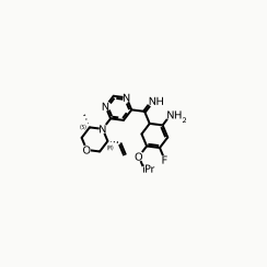 C=C[C@@H]1COC[C@H](C)N1c1cc(C(=N)C2CC(OC(C)C)=C(F)C=C2N)ncn1